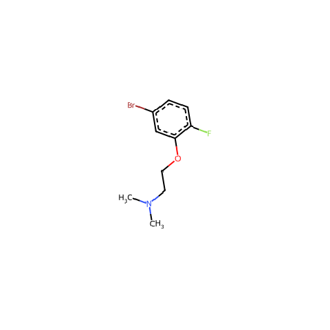 CN(C)CCOc1cc(Br)ccc1F